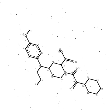 CCCC(c1ccc(OC)cc1)C1CCN(C(=O)C(=O)C2CCCCC2)C(C(=O)O)C1